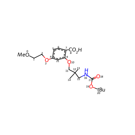 COCCOc1ccc(C(=O)O)c(OCC(C)(C)CNC(=O)OC(C)(C)C)c1